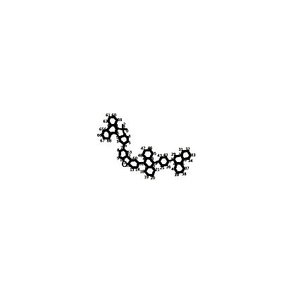 CC1(C)c2ccc(-c3ccc4oc5ccc(-c6c7ccccc7c(-c7ccc(-c8cc9ccccc9c9ccccc89)cc7)c7ccccc67)cc5c4c3)cc2-c2c1c1ccccc1c1ccccc21